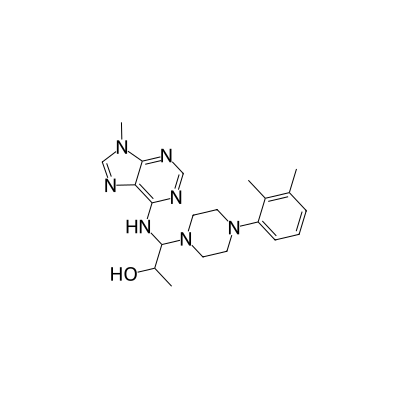 Cc1cccc(N2CCN(C(Nc3ncnc4c3ncn4C)C(C)O)CC2)c1C